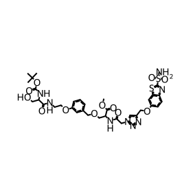 COC(=O)C(COCc1cccc(OCCNC(=O)C(CO)NC(=O)OC(C)(C)C)c1)NC(=O)Cn1cc(COc2ccc3nc(S(N)(=O)=O)sc3c2)nn1